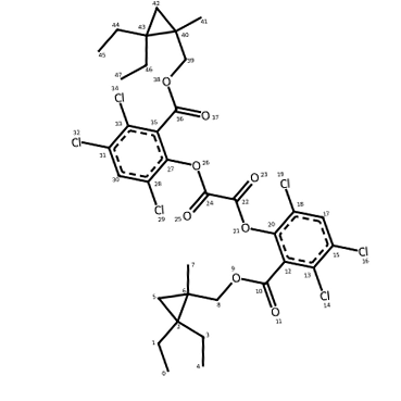 CCC1(CC)CC1(C)COC(=O)c1c(Cl)c(Cl)cc(Cl)c1OC(=O)C(=O)Oc1c(Cl)cc(Cl)c(Cl)c1C(=O)OCC1(C)CC1(CC)CC